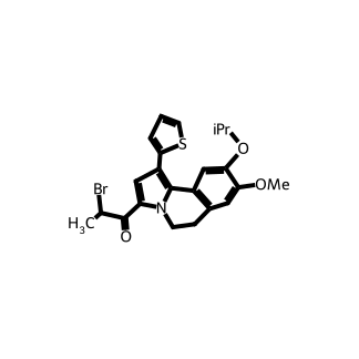 COc1cc2c(cc1OC(C)C)-c1c(-c3cccs3)cc(C(=O)C(C)Br)n1CC2